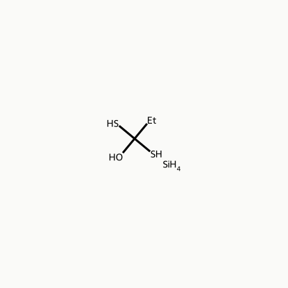 CCC(O)(S)S.[SiH4]